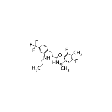 CCCNc1cc(C(F)(F)F)ccc1CCC(=O)N[C@H](C)c1cc(F)c(C)c(F)c1